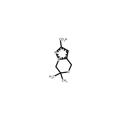 CC1(C)Cn2nc(C(=O)O)cc2CO1